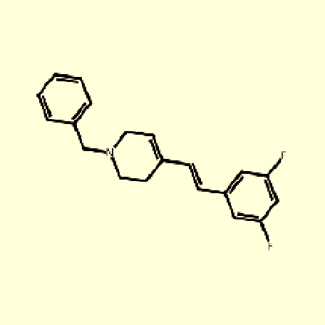 Fc1cc(F)cc(/C=C/C2=CCN(Cc3ccccc3)CC2)c1